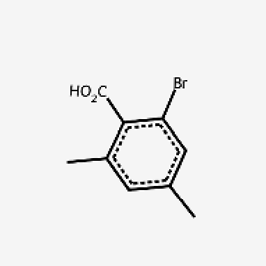 Cc1cc(C)c(C(=O)O)c(Br)c1